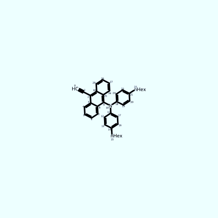 C#Cc1c2ccccc2c(N(c2ccc(CCCCCC)cc2)c2ccc(CCCCCC)cc2)c2ccccc12